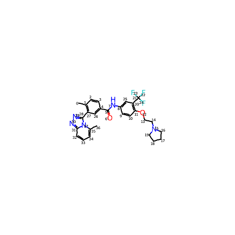 Cc1ccc(C(=O)Nc2ccc(OCCN3CCCC3)c(C(F)(F)F)c2)cc1-c1nnc2cccc(C)n12